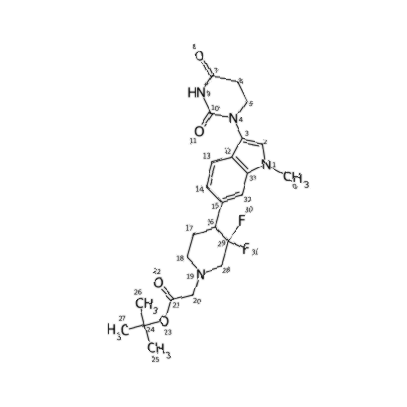 Cn1cc(N2CCC(=O)NC2=O)c2ccc(C3CCN(CC(=O)OC(C)(C)C)CC3(F)F)cc21